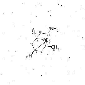 C[C@]12C[C@H]3C[C@@H](C1)C[C@@](N)(C3)O2